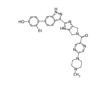 CCc1cc(O)ccc1-c1ccc2c(-c3nc4c([nH]3)CN(C(=O)c3cnc(N5CCN(C)CC5)cn3)C4)n[nH]c2c1